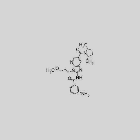 COCCCn1c(NC(=O)c2cccc(N)c2)nc2cc(C(=O)N3C(C)CCC3C)cnc21